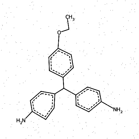 CCOc1ccc(C(c2ccc(N)cc2)c2ccc(N)cc2)cc1